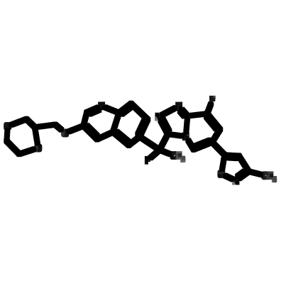 Cc1cc(-c2cc(F)c3nnc(C(C)(F)c4ccc5ncc(OCC6COCCO6)cc5c4)n3c2)on1